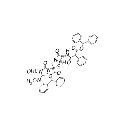 C=NC1CN([C@]2(C(=O)OC(c3ccccc3)c3ccccc3)CN3C(=O)[C@@H](NC(=O)C(C(=O)OC(c4ccccc4)c4ccccc4)c4ccccc4)[C@H]3S2)C(=O)N1C=O